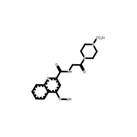 CCCOc1cc(C(=O)NCC(=O)N2CCN(C(=O)OCC)CC2)nc2ccccc12